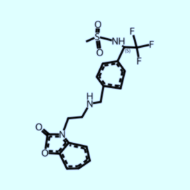 CS(=O)(=O)N[C@@H](c1ccc(CNCCn2c(=O)oc3ccccc32)cc1)C(F)(F)F